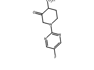 CCOC(=O)C1CCN(c2ncc(F)cn2)CC1=O